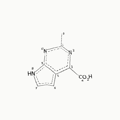 Cc1nc(C(=O)O)c2cc[nH]c2n1